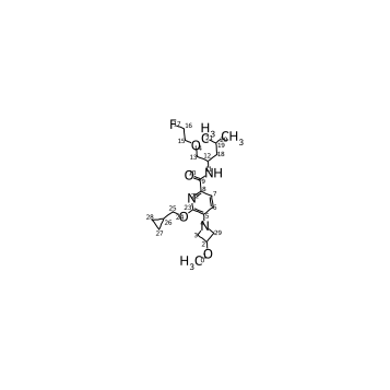 COC1CN(c2ccc(C(=O)NC(COCCF)CC(C)C)nc2OCC2CC2)C1